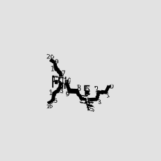 CCCC[Si](F)(F)CCCC[Si](F)(CCCC)CCCC